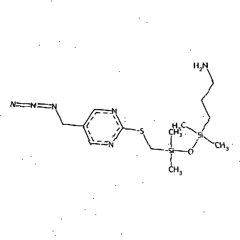 C[Si](C)(CCCN)O[Si](C)(C)CSc1ncc(CN=[N+]=[N-])cn1